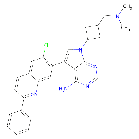 CN(C)CC1CC(n2cc(-c3cc4nc(-c5ccccc5)ccc4cc3Cl)c3c(N)ncnc32)C1